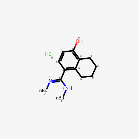 CCCCN=C(NCCCC)c1ccc(O)c2c1CCCC2.Cl